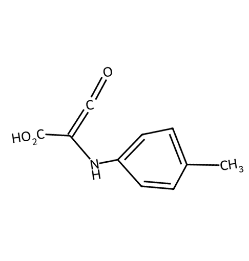 Cc1ccc(NC(=C=O)C(=O)O)cc1